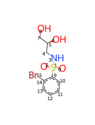 O=S(=O)(NC[C@H](O)CO)c1ccccc1Br